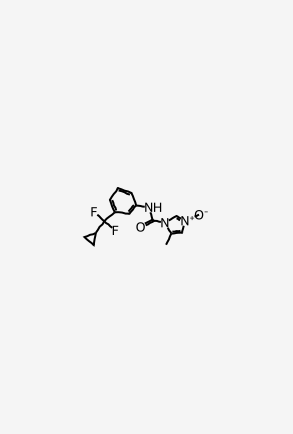 Cc1c[n+]([O-])cn1C(=O)Nc1cccc(C(F)(F)C2CC2)c1